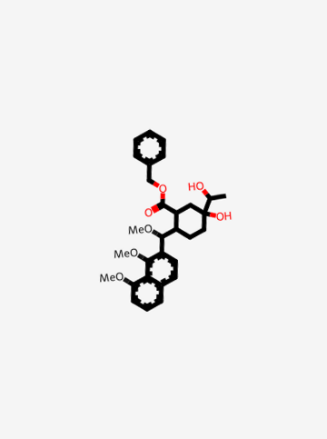 COc1cccc2ccc(C(OC)C3CCC(O)(C(C)O)CC3C(=O)OCc3ccccc3)c(OC)c12